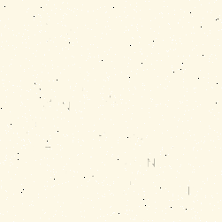 CC(C)CN(C)S(=O)(=O)c1ccc(Cl)c(-n2c(=O)[nH]c3sccc3c2=O)c1